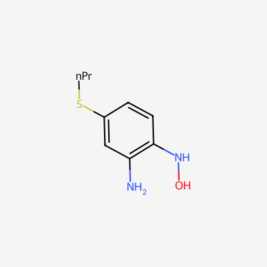 CCCSc1ccc(NO)c(N)c1